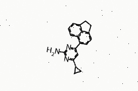 Nc1nc(-c2ccc3c4c(cccc24)CC3)cc(C2CC2)n1